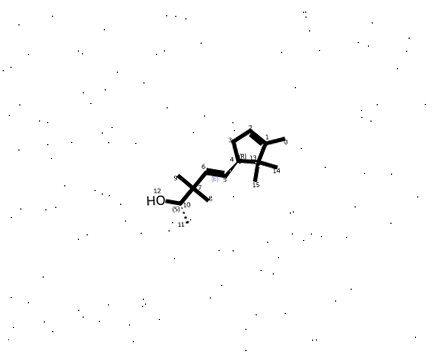 CC1=CC[C@H](/C=C/C(C)(C)[C@H](C)O)C1(C)C